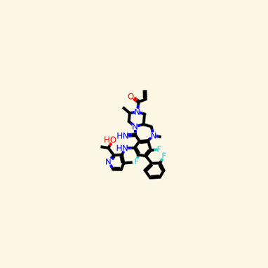 C=CC(=O)N1CC2CN(C)c3c(F)c(-c4ccccc4F)c(F)c(Nc4c(C)ccnc4C(C)O)c3C(=N)N2CC1C